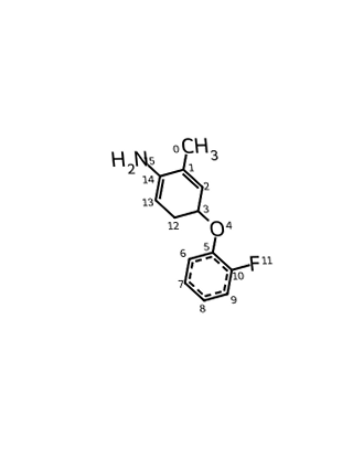 CC1=CC(Oc2ccccc2F)CC=C1N